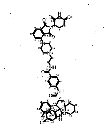 O=C1CCC(N2C(=O)c3cccc(N4CCN(CCNC(=O)c5ccc(NC(=O)[C@@H]6NC7(CCCCC7)[C@@]7(C(=O)Nc8cc(Cl)ccc87)[C@H]6c6cccc(Cl)c6F)cc5)CC4)c3C2=O)C(=O)N1